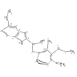 CCOc1c(C)cnc(CC(O)c2nc3cc(OC)ccc3[nH]2)c1C